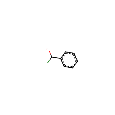 OC(Cl)c1[c]cccc1